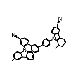 Cc1ccc2c(c1)c1ccccc1n2-c1cc(C#N)ccc1-c1cccc(-c2ccc(-n3c4c(c5cc(C#N)ccc53)C=CCC4C)cc2)c1